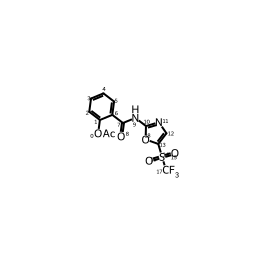 CC(=O)Oc1ccccc1C(=O)Nc1ncc(S(=O)(=O)C(F)(F)F)o1